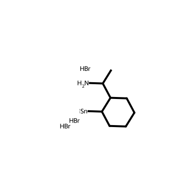 Br.Br.Br.CC(N)C1CCCC[CH]1[Sn]